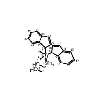 CO.CO.[CH3][Ti]([CH3])(=[SiH2])([CH]1C=Cc2ccccc21)[CH]1C=Cc2ccccc21